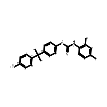 Cc1ccc(NC(=O)Oc2ccc(C(C)(C)c3ccc(O)cc3)cc2)c(C)c1